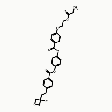 C=CC(=O)OCCOc1ccc(C(=O)Oc2ccc(OC(=O)c3ccc(OCC4(CC)COC4)cc3)cc2)cc1